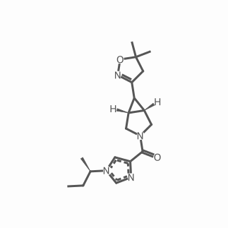 CC[C@@H](C)n1cnc(C(=O)N2C[C@@H]3C(C4=NOC(C)(C)C4)[C@@H]3C2)c1